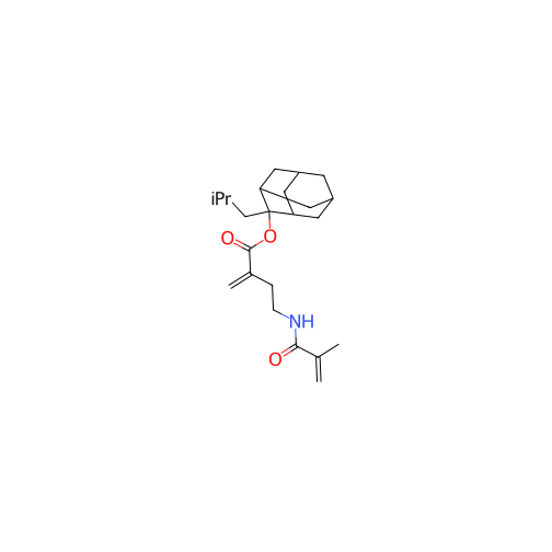 C=C(C)C(=O)NCCC(=C)C(=O)OC1(CC(C)C)C2CC3CC(C2)CC1C3